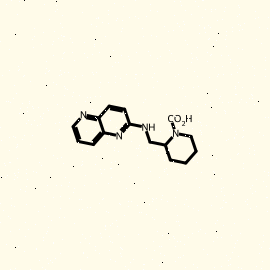 O=C(O)N1CCCCC1CNc1ccc2ncccc2n1